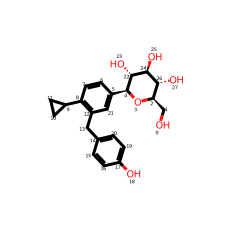 OC[C@H]1O[C@@H](c2ccc(C3CC3)c(Cc3ccc(O)cc3)c2)[C@H](O)[C@@H](O)[C@@H]1O